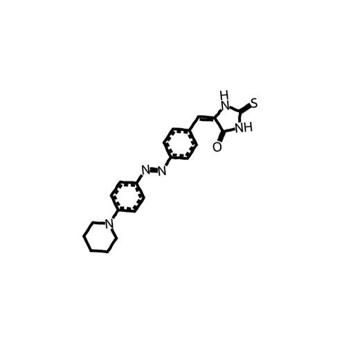 O=C1NC(=S)N/C1=C/c1ccc(/N=N/c2ccc(N3CCCCC3)cc2)cc1